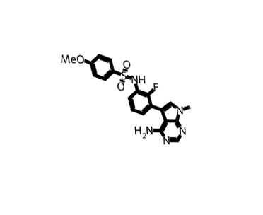 COc1ccc(S(=O)(=O)Nc2cccc(-c3cn(C)c4ncnc(N)c34)c2F)cc1